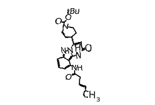 C/C=C/CC(=O)Nc1cccc2nn3c(C4CCN(C(=O)OC(C)(C)C)CC4)cc(=O)[nH]c3c12